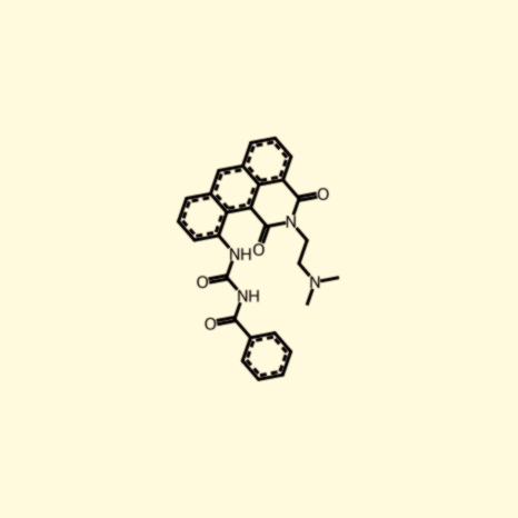 CN(C)CCN1C(=O)c2cccc3cc4cccc(NC(=O)NC(=O)c5ccccc5)c4c(c23)C1=O